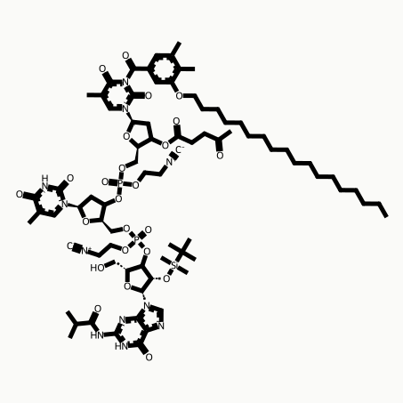 [C-]#[N+]CCOP(=O)(OC[C@H]1O[C@@H](n2cc(C)c(=O)n(C(=O)c3cc(C)c(C)c(OCCCCCCCCCCCCCCCCCC)c3)c2=O)CC1OC(=O)CCC(C)=O)OC1C[C@H](n2cc(C)c(=O)[nH]c2=O)O[C@@H]1COP(=O)(OCC[N+]#[C-])OC1[C@@H](CO)O[C@@H](n2cnc3c(=O)[nH]c(NC(=O)C(C)C)nc32)[C@H]1O[Si](C)(C)C(C)(C)C